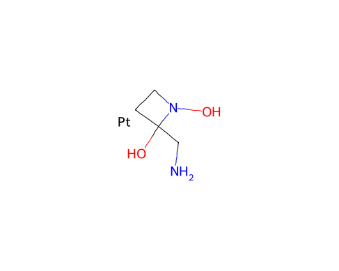 NCC1(O)CCN1O.[Pt]